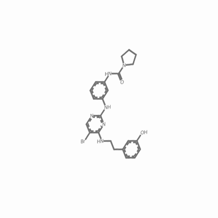 O=C(Nc1cccc(Nc2ncc(Br)c(NCCc3cccc(O)c3)n2)c1)N1CCCC1